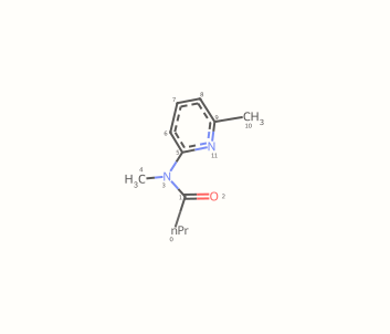 CCCC(=O)N(C)c1cccc(C)n1